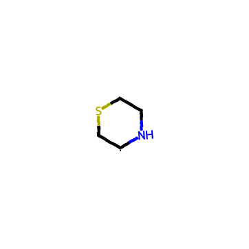 [CH]1CSCCN1